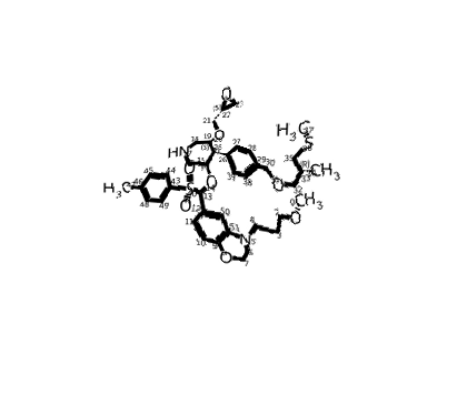 COCCCN1CCOc2ccc(C(O[C@H]3CNC[C@@H](OC[C@H]4CO4)[C@H]3c3ccc(COC[C@@H](C)CSC)cc3)S(=O)(=O)c3ccc(C)cc3)cc21